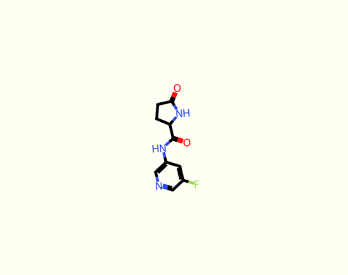 O=C1CCC(C(=O)Nc2cncc(F)c2)N1